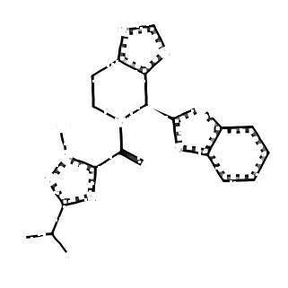 Cn1nc(C(F)F)nc1C(=O)N1CCc2[nH]cnc2[C@H]1c1nc2ccccc2o1